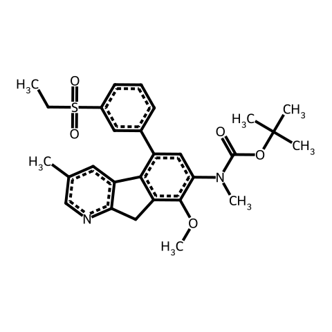 CCS(=O)(=O)c1cccc(-c2cc(N(C)C(=O)OC(C)(C)C)c(OC)c3c2-c2cc(C)cnc2C3)c1